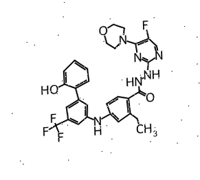 CCc1cc(Nc2cc(-c3ccccc3O)cc(C(F)(F)F)c2)ccc1C(=O)NNc1ncc(F)c(N2CCOCC2)n1